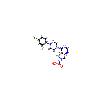 O=C(O)N1Cc2ncnc(N3CCN(c4ccc(F)cc4F)CC3)c2C1